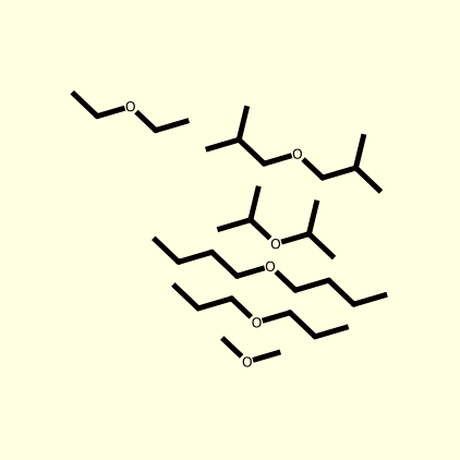 CC(C)COCC(C)C.CC(C)OC(C)C.CCCCOCCCC.CCCOCCC.CCOCC.COC